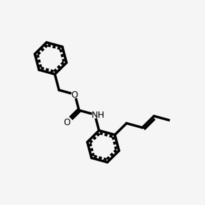 CC=CCc1ccccc1NC(=O)OCc1ccccc1